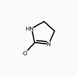 [O]C1=NCCN1